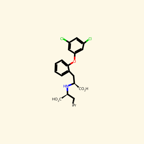 CC(C)C[C@H](N[C@@H](Cc1ccccc1Oc1cc(Cl)cc(Cl)c1)C(=O)O)C(=O)O